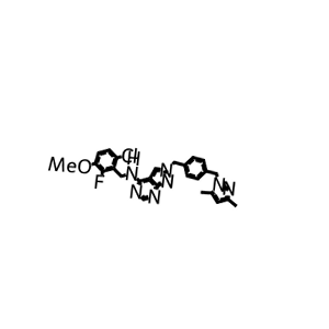 COc1ccc(Cl)c(CNc2ncnc3nn(Cc4ccc(Cn5nc(C)cc5C)cc4)cc23)c1F